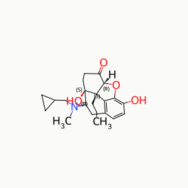 CCC[C@]12c3c4ccc(O)c3O[C@H]1C(=O)CC[C@@]2(O)[C@H](N(C)CC1CC1)C4